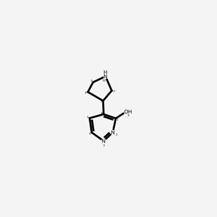 Oc1nnccc1C1CCNC1